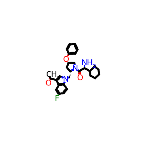 CC(=O)c1cn(C[C@@H]2C[C@H](Oc3ccccc3)CN2C(=O)[C@@H](N)C2CCCCC2)c2ccc(F)cc12